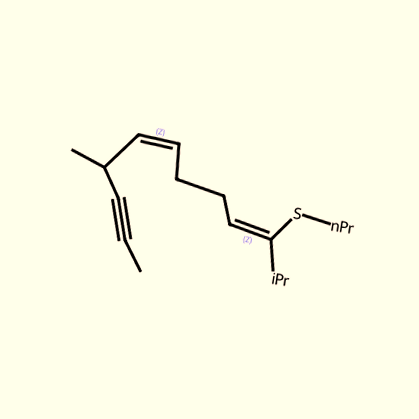 CC#CC(C)/C=C\CC/C=C(\SCCC)C(C)C